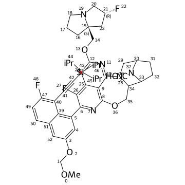 COCOc1cc(-c2nc3c4c(nc(OC[C@@]56CCCN5C[C@H](F)C6)nc4c2F)N2CC4CCC(C2CO3)N4C(=O)O)c2c(C#C[Si](C(C)C)(C(C)C)C(C)C)c(F)ccc2c1